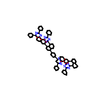 c1ccc(-c2cc(-c3ccc(-c4ccc(-c5ccc(-c6cc(-c7ccccc7)nc(-c7ccc(-c8cccc9cccc(-c%10nc(-c%11ccccc%11)nc(-c%11ccccc%11)n%10)c89)cc7)n6)cc5)c5cccc(-c6nc(-c7ccccc7)nc(-c7ccccc7)n6)c45)cc3)nc(-c3ccccc3)n2)cc1